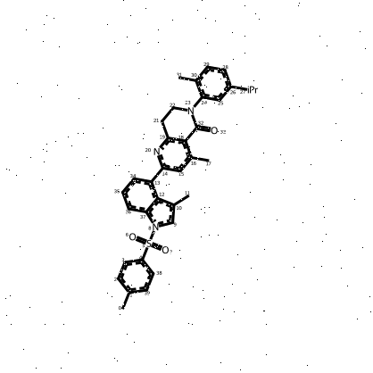 Cc1ccc(S(=O)(=O)n2cc(C)c3c(-c4cc(C)c5c(n4)CCN(c4cc(C(C)C)ccc4C)C5=O)cccc32)cc1